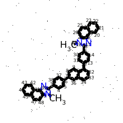 Cn1c(-c2ccc(-c3ccc4c(-c5ccc(-c6nc7c8ccccc8ccc7n6C)cc5)cccc4c3)cc2)nc2c3ccccc3ccc21